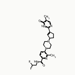 Cc1nc(C(=O)NCC(F)F)ccc1N1CCN(C2C=C(c3ncc(C)c(=O)[nH]3)CC2)CC1